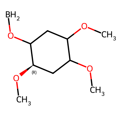 BOC1CC(OC)C(OC)C[C@H]1OC